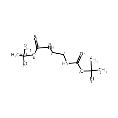 CCC(C)(C)OC(=O)NCCNC(=O)OC(C)(C)CC